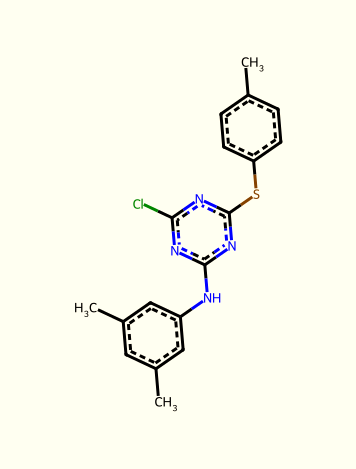 Cc1ccc(Sc2nc(Cl)nc(Nc3cc(C)cc(C)c3)n2)cc1